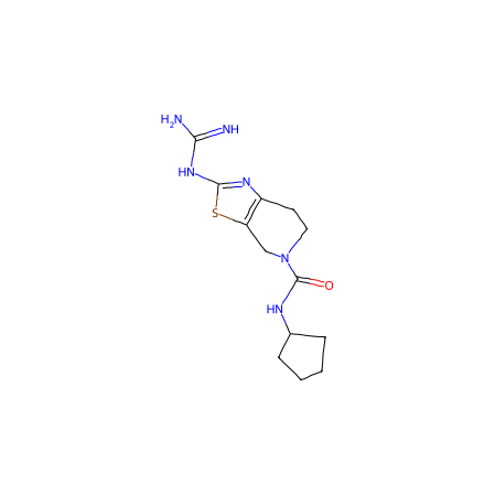 N=C(N)Nc1nc2c(s1)CN(C(=O)NC1CCCC1)CC2